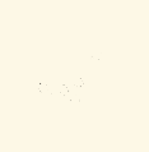 Cc1nc(C2CCC(NC(=O)OC(C)C)CC2)sc1-c1ccc(Nc2ccn(C)n2)cc1S(N)(=O)=O